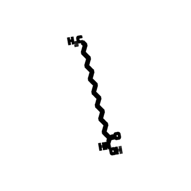 CCCCCCCCCCCCCCCC(=O)NO